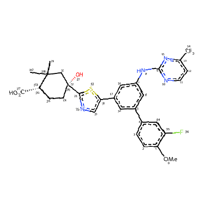 COc1ccc(-c2cc(Nc3nccc(C(F)(F)F)n3)cc(-c3cnc([C@@]4(O)CC[C@H](C(=O)O)C(C)(C)C4)s3)c2)cc1F